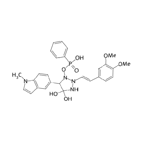 COc1ccc(C=CN2NC(O)(O)C(c3ccc4c(ccn4C)c3)N2OP(=O)(O)c2ccccc2)cc1OC